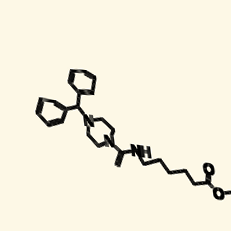 C=C(NCCCCCC(=O)OC)N1CCN(C(c2ccccc2)c2ccccc2)CC1